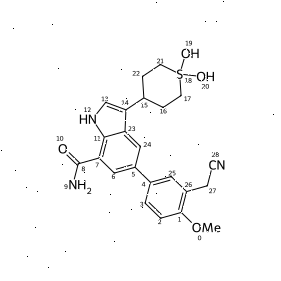 COc1ccc(-c2cc(C(N)=O)c3[nH]cc(C4CCS(O)(O)CC4)c3c2)cc1CC#N